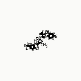 Cc1nc(NC(=O)C2(C(=O)Nc3ccc(F)cc3Cl)CC2)sc1C(=O)Nc1cc(C(F)(F)F)ccc1Cl